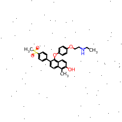 CCNCCOc1ccc(Oc2c(-c3ccc(S(C)(=O)=O)cc3)ccc3c(C)c(O)ccc23)cc1